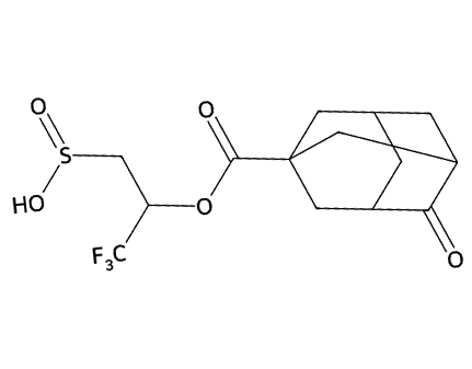 O=C1C2CC3CC1CC(C(=O)OC(CS(=O)O)C(F)(F)F)(C3)C2